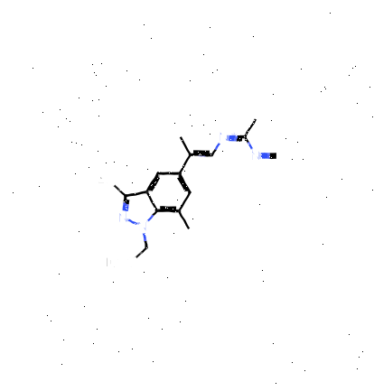 C=N/C(C)=N\C=C(/C)c1cc(C)c2c(c1)c(C(C)=O)nn2CC(=O)O